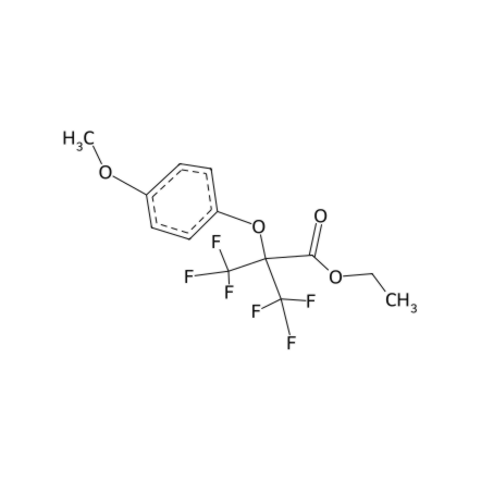 CCOC(=O)C(Oc1ccc(OC)cc1)(C(F)(F)F)C(F)(F)F